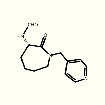 O=CN[C@H]1CCCCN(Cc2ccncc2)C1=O